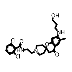 Cc1cc2c(cc1NCCCO)OC1(CCN(CCNC(=O)c3c(Cl)cccc3Cl)CC1)CC2=O